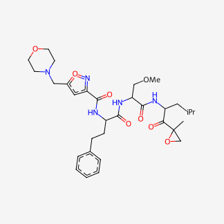 COCC(NC(=O)C(CCc1ccccc1)NC(=O)c1cc(CN2CCOCC2)on1)C(=O)NC(CC(C)C)C(=O)C1(C)CO1